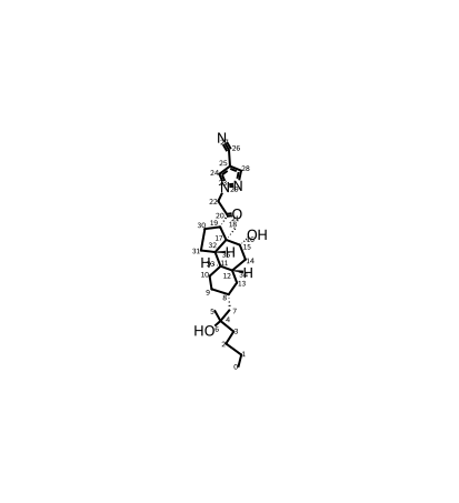 CCCCC(C)(O)C[C@@H]1CC[C@@H]2[C@@H](C1)C[C@@H](O)[C@]1(C)[C@@H](C(=O)Cn3cc(C#N)cn3)CC[C@@H]21